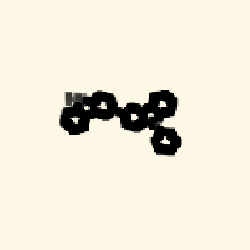 C1=CCC(n2c3ccccc3c3cc(-c4ccc5[nH]c6ccccc6c5c4)ccc32)C=C1